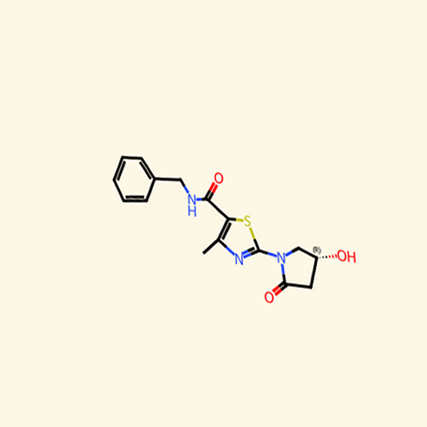 Cc1nc(N2C[C@H](O)CC2=O)sc1C(=O)NCc1ccccc1